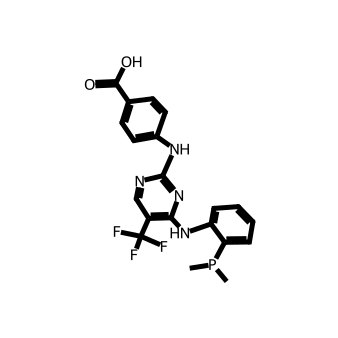 CP(C)c1ccccc1Nc1nc(Nc2ccc(C(=O)O)cc2)ncc1C(F)(F)F